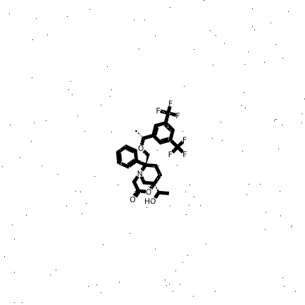 CC(O)[C@]12CC[C@@](CO[C@H](C)c3cc(C(F)(F)F)cc(C(F)(F)F)c3)(c3ccccc3)N(CC(=O)O1)C2